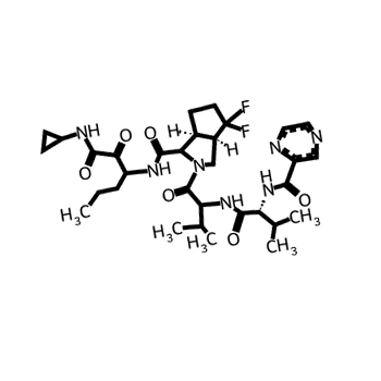 CCCC(NC(=O)C1[C@H]2CCC(F)(F)[C@H]2CN1C(=O)C(NC(=O)[C@H](NC(=O)c1cnccn1)C(C)C)C(C)C)C(=O)C(=O)NC1CC1